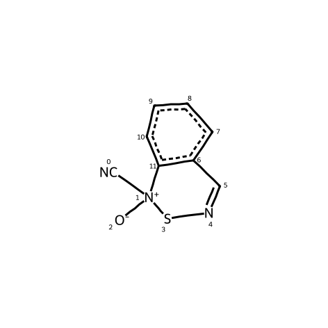 N#C[N+]1([O-])SN=Cc2ccccc21